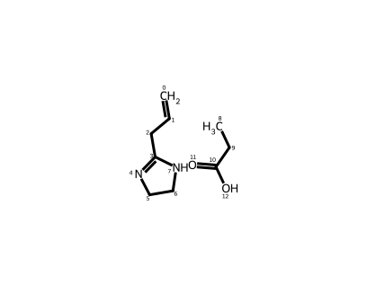 C=CCC1=NCCN1.CCC(=O)O